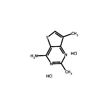 Cc1nc(N)c2scc(C)c2n1.Cl.Cl